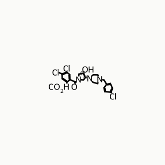 O=C(O)c1cc(Cl)c(Cl)cc1C(=O)N1C[C@@H](O)[C@H](N2CCN(Cc3ccc(Cl)cc3)CC2)C1